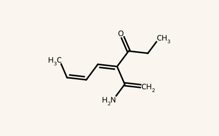 C=C(N)/C(=C\C=C/C)C(=O)CC